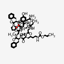 C=CCOC(=O)NCCCC[C@H](NC(=O)CNC(=O)CC)C(=O)N(C)[C@@H](Cc1ccccc1)C(=O)N(C)CC(=O)N[C@@H](Cc1ccc(O)cc1)C(=O)N(C)[C@@H](Cc1ccccc1)C(=O)N1CCC[C@H]1C(=O)N[C@@H](CN)C(=O)NCC(N)=O